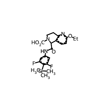 CCOc1ccc2c(n1)CCN(C(=O)O)C2C(=O)Nc1cc(F)c([Si](C)(C)C)c(F)c1